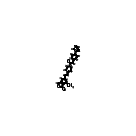 Cc1cc(CCN2CCN(C(=O)Cc3ccc(-n4cnnn4)cc3)CC2)cc2c1C(=O)OC2